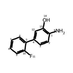 Nc1ccc(-c2ccccc2F)cc1O